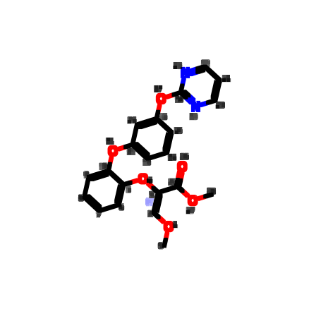 CO/C=C(/Oc1ccccc1Oc1cccc(Oc2ncccn2)c1)C(=O)OC